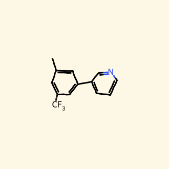 Cc1cc(-c2cccnc2)cc(C(F)(F)F)c1